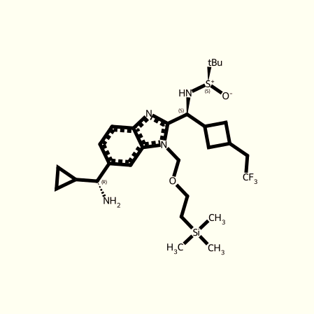 CC(C)(C)[S@@+]([O-])N[C@H](c1nc2ccc([C@H](N)C3CC3)cc2n1COCC[Si](C)(C)C)C1CC(CC(F)(F)F)C1